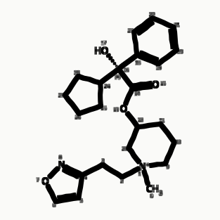 C[N+]1(CCc2ccon2)CCCC(OC(=O)[C@](O)(c2ccccc2)C2CCCC2)C1